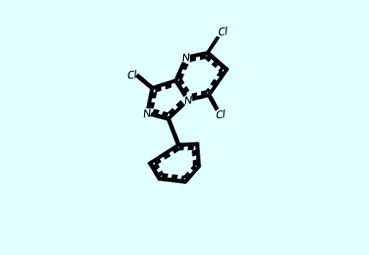 Clc1cc(Cl)n2c(-c3ccccc3)nc(Cl)c2n1